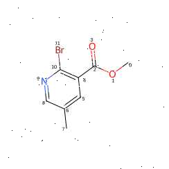 COC(=O)c1cc(C)cnc1Br